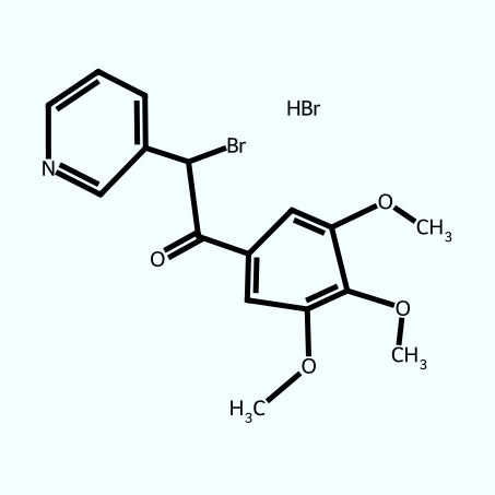 Br.COc1cc(C(=O)C(Br)c2cccnc2)cc(OC)c1OC